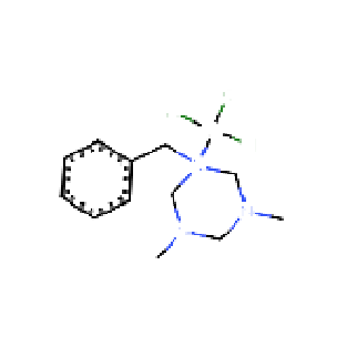 CN1CN(C)C[N+](Cc2ccccc2)([Cr]([Cl])([Cl])[Cl])C1